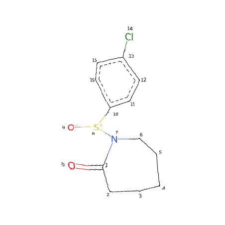 O=C1CCCCCN1[S+]([O-])c1ccc(Cl)cc1